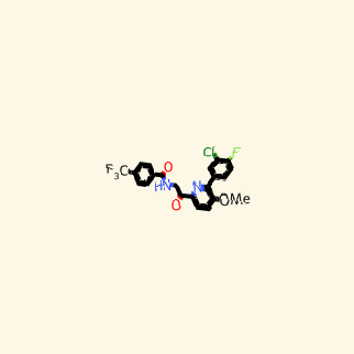 COc1ccc(C(=O)CNC(=O)c2ccc(C(F)(F)F)cc2)nc1-c1ccc(F)c(Cl)c1